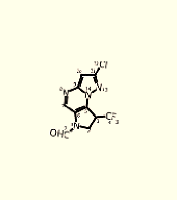 O=CN1CC(C(F)(F)F)c2c1cnc1cc(Cl)nn21